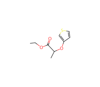 CCOC(=O)C(C)Oc1ccsc1